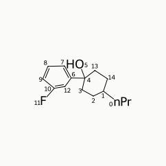 CCCC1CCC(O)(c2cccc(F)c2)CC1